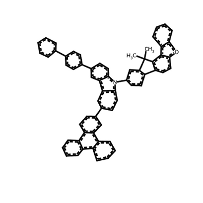 CC1(C)c2cc(-n3c4ccc(-c5ccc(-c6ccccc6)cc5)cc4c4cc(-c5ccc6c7ccccc7c7ccccc7c6c5)ccc43)ccc2-c2ccc3oc4ccccc4c3c21